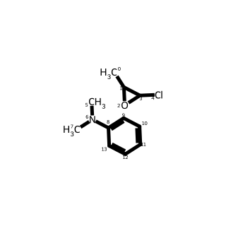 CC1OC1Cl.CN(C)c1ccccc1